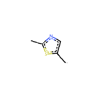 [CH2]c1cnc(C)s1